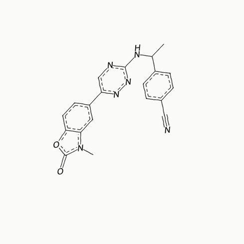 CC(Nc1ncc(-c2ccc3oc(=O)n(C)c3c2)nn1)c1ccc(C#N)cc1